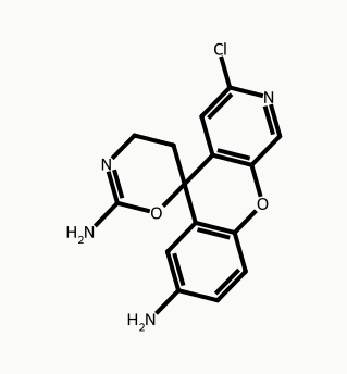 NC1=NCCC2(O1)c1cc(N)ccc1Oc1cnc(Cl)cc12